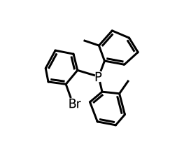 Cc1ccccc1P(c1ccccc1C)c1ccccc1Br